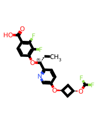 CC[C@@H](Oc1ccc(C(=O)O)c(F)c1F)c1ccc(O[C@H]2C[C@H](OC(F)F)C2)cn1